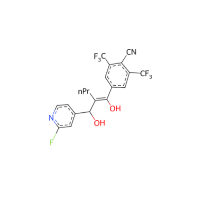 CCC/C(=C(/O)c1cc(C(F)(F)F)c(C#N)c(C(F)(F)F)c1)C(O)c1ccnc(F)c1